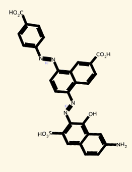 Nc1ccc2cc(S(=O)(=O)O)c(/N=N/c3ccc(/N=N/c4ccc(C(=O)O)cc4)c4cc(C(=O)O)ccc34)c(O)c2c1